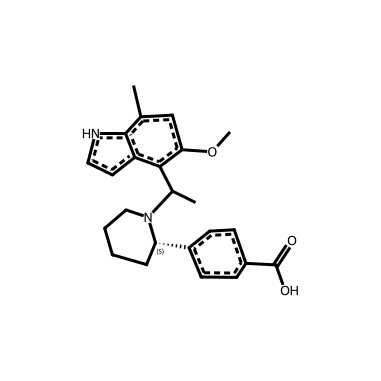 COc1cc(C)c2[nH]ccc2c1C(C)N1CCCC[C@H]1c1ccc(C(=O)O)cc1